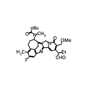 CCCCC(=O)N(C)C1CCc2c(C)c(F)cc3c2CC1=C1Cn2c(cc(C(C=O)CC)c(COC)c2=O)C1=N3